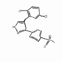 CS(=O)(=O)c1ccc(-c2n[nH]cc2-c2cc(Cl)ccc2Cl)cc1